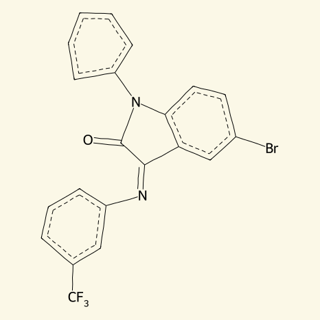 O=C1C(=Nc2cccc(C(F)(F)F)c2)c2cc(Br)ccc2N1c1ccccc1